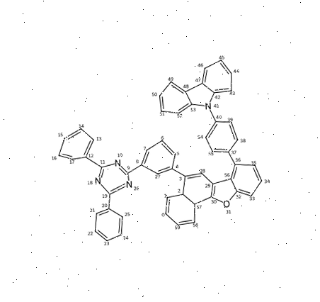 C1=CC2C(c3cccc(-c4nc(-c5ccccc5)nc(-c5ccccc5)n4)c3)=Cc3c(oc4cccc(-c5ccc(-n6c7ccccc7c7ccccc76)cc5)c34)C2C=C1